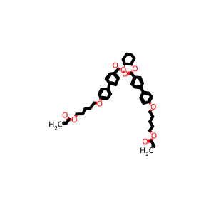 C=CC(=O)OCCCCCOc1ccc(-c2ccc(C(=O)O[C@@H]3CCCC[C@H]3OC(=O)c3ccc(-c4ccc(OCCCCCOC(=O)C=C)cc4)cc3)cc2)cc1